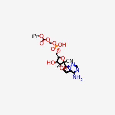 CC(C)OC(=O)OCOP(=O)(O)OC[C@H]1O[C@@](C#N)(c2ccc3c(N)ncnn23)[C@](C)(O)[C@@H]1O